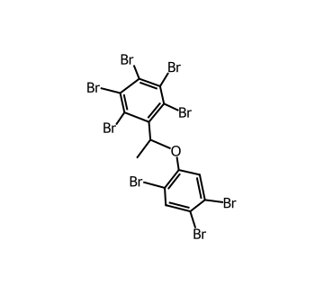 CC(Oc1cc(Br)c(Br)cc1Br)c1c(Br)c(Br)c(Br)c(Br)c1Br